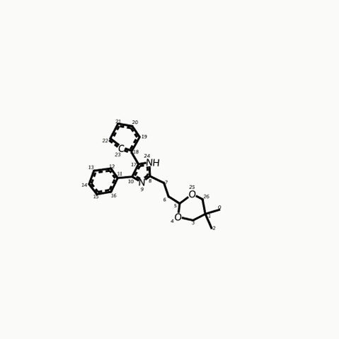 CC1(C)COC(CCc2nc(-c3ccccc3)c(-c3ccccc3)[nH]2)OC1